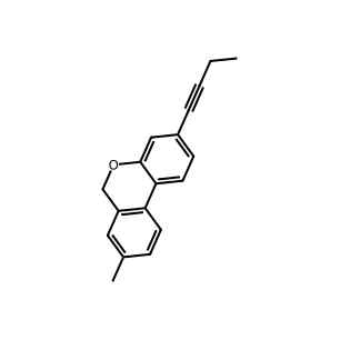 CCC#Cc1ccc2c(c1)OCc1cc(C)ccc1-2